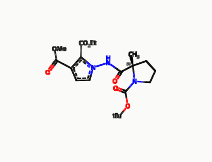 CCOC(=O)c1c(C(=O)OC)ccn1NC(=O)[C@]1(C)CCCN1C(=O)OC(C)(C)C